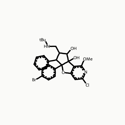 COc1nc(Cl)cc2c1C1(O)C(O)C(CNC(C)(C)C)C(c3ccccc3)C1(c1ccc(Br)cc1)O2